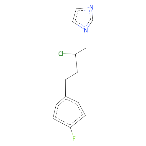 Fc1ccc(CCC(Cl)Cn2ccnc2)cc1